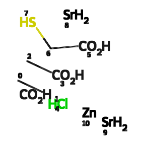 CC(=O)O.CC(=O)O.Cl.O=C(O)CS.[SrH2].[SrH2].[Zn]